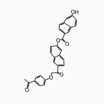 CC(=O)c1ccc(OCC(=O)c2ccc3cc(OC(=O)c4ccc5cc(O)ccc5c4)ccc3c2)cc1